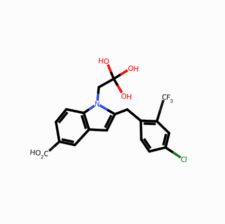 O=C(O)c1ccc2c(c1)cc(Cc1ccc(Cl)cc1C(F)(F)F)n2CC(O)(O)O